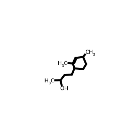 CC1=CC(C)CCC1CCC(C)O